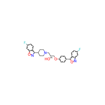 O[C@@H](COc1ccc(-c2onc3cc(F)ccc23)cc1)CN1CCC(c2noc3cc(F)ccc23)CC1